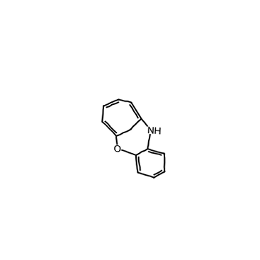 C1=CC=C2CC(=C1)Nc1ccccc1O2